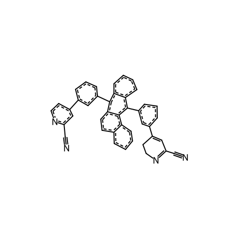 N#CC1=NCCC(c2cccc(-c3c4ccccc4c(-c4cccc(-c5ccnc(C#N)c5)c4)c4ccc5ccccc5c34)c2)=C1